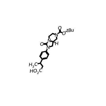 CC(CC(=O)O)c1ccc(N2C[C@@H]3CN(C(=O)OC(C)(C)C)CCN3C2=O)cc1